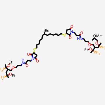 CCOC(C)(P)CC(COCCCNC(=O)CCN1C(=O)CC(SCCCCCCC(CCCCCCSC2CC(=O)N(CCC(=O)NCCCOCC(CC(C)(P)OCC(C)OC)C(C)(P)OCC)C2=O)C(C)(C)C)C1=O)C(C)(P)OCC